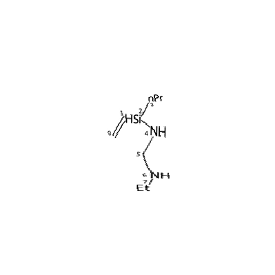 C=C[SiH](CCC)NCNCC